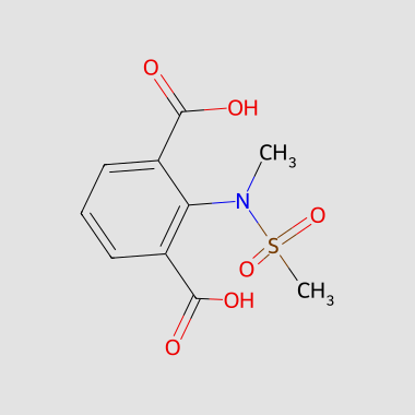 CN(c1c(C(=O)O)cccc1C(=O)O)S(C)(=O)=O